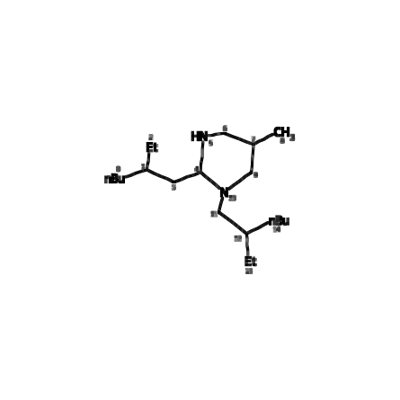 CCCCC(CC)CC1NCC(C)CN1CC(CC)CCCC